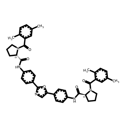 Cc1ccc(C)c(C(=O)N2CCC[C@H]2C(=O)Nc2ccc(-c3cnc(-c4ccc(NC(=O)[C@@H]5CCCN5C(=O)c5cc(C)ccc5C)cc4)o3)cc2)c1